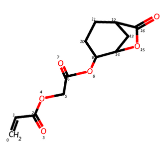 C=CC(=O)OCC(=O)OC1CCC2CC1OC2=O